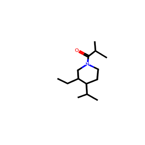 CCC1CN(C(=O)C(C)C)CCC1C(C)C